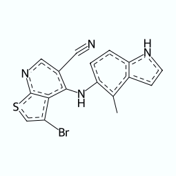 Cc1c(Nc2c(C#N)cnc3scc(Br)c23)ccc2[nH]ccc12